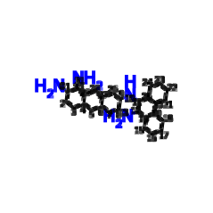 Nc1ccc2cc3ccc(Nc4c(N)c5ccccc5c5ccccc45)cc3cc2c1N